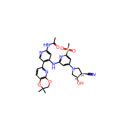 CC(=O)Nc1cc(Nc2cc(N3C[C@@H](C#N)[C@@H](O)C3)cc(S(C)(=O)=O)n2)c(-c2ccc3c(n2)OCC(C)(C)O3)cn1